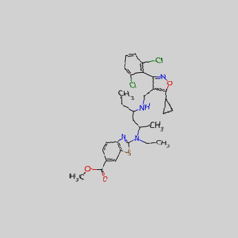 CCC(CC(C)N(CC)c1nc2ccc(C(=O)OC)cc2s1)NCc1c(-c2c(Cl)cccc2Cl)noc1C1CC1